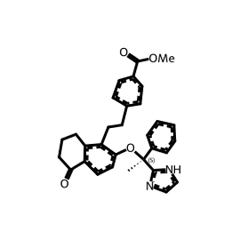 COC(=O)c1ccc(CCc2c(O[C@@](C)(c3ccccc3)c3ncc[nH]3)ccc3c2CCCC3=O)cc1